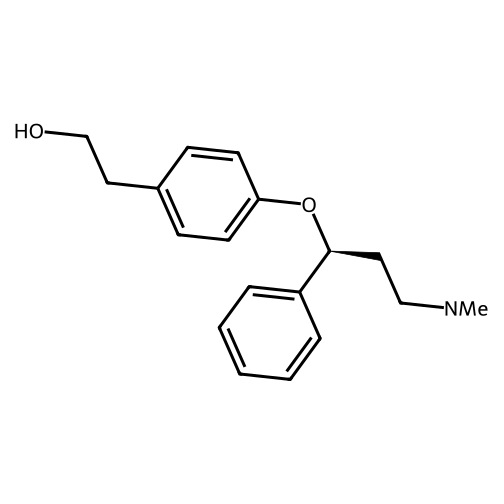 CNCC[C@H](Oc1ccc(CCO)cc1)c1ccccc1